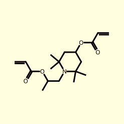 C=CC(=O)OC(C)CN1C(C)(C)CC(OC(=O)C=C)CC1(C)C